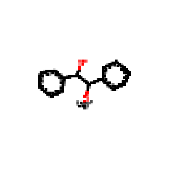 [Mg+2].[O-]C(c1ccccc1)C([O-])c1ccccc1